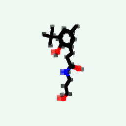 Cc1cc(CCC(=O)NCCCO)c(O)c(C(C)(C)C)c1